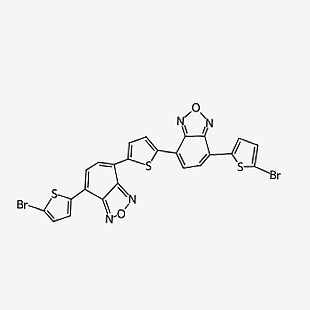 Brc1ccc(-c2ccc(-c3ccc(-c4ccc(-c5ccc(Br)s5)c5nonc45)s3)c3nonc23)s1